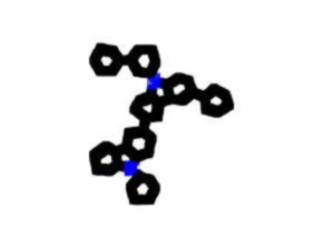 C1=CC2C3C=C(C4C=C5C(=CC4)N(C4CCCC(C6C=CCCC6)C4)C4CCC(C6C=CCCC6)=CC54)CCC3N(C3CCCCC3)C2C=C1